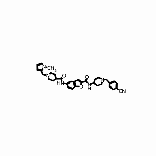 Cn1cccc1CN1CCC(C(=O)Nc2ccc3oc(C(=O)NC4CCN(Cc5ccc(C#N)cc5)CC4)cc3c2)CC1